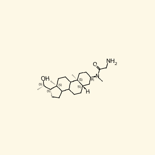 C[C@H](O)[C@H]1CCC2C3CC[C@H]4C[C@H](N(C)C(=O)CN)CC[C@]4(C)C3CC[C@@]21C